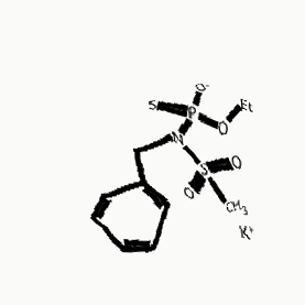 CCOP([O-])(=S)N(Cc1ccccc1)S(C)(=O)=O.[K+]